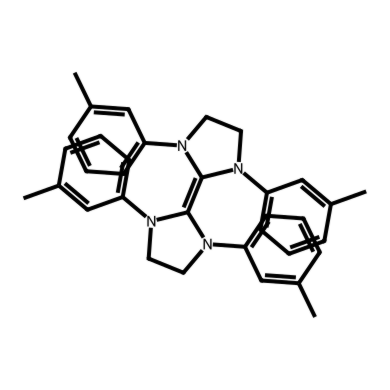 Cc1cccc(N2CCN(c3cccc(C)c3)C2=C2N(c3cccc(C)c3)CCN2c2cccc(C)c2)c1